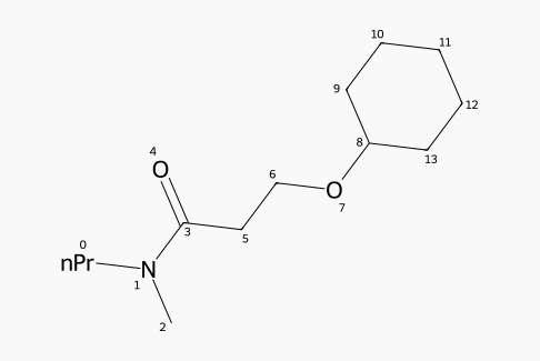 CCCN(C)C(=O)CCOC1CCCCC1